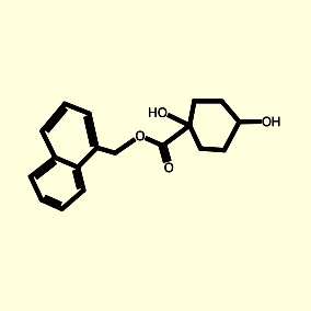 O=C(OCc1cccc2ccccc12)C1(O)CCC(O)CC1